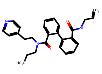 C=CCNC(=O)c1ccccc1-c1ccccc1C(=O)N(CCC(=O)O)CCc1ccncc1